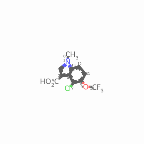 Cn1cc(C(=O)O)c2c(Cl)c(OC(F)(F)F)ccc21